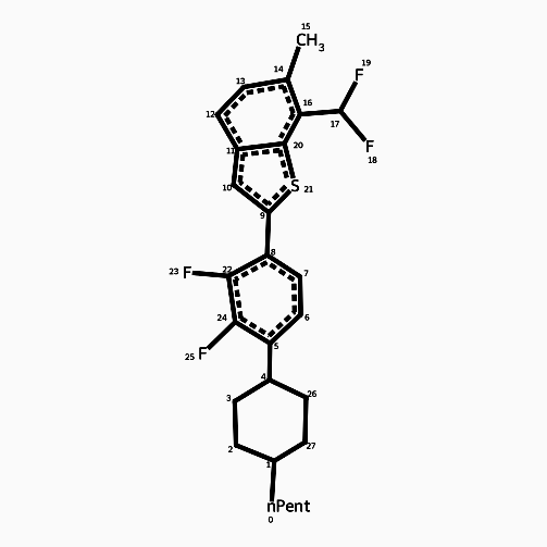 CCCCCC1CCC(c2ccc(-c3cc4ccc(C)c(C(F)F)c4s3)c(F)c2F)CC1